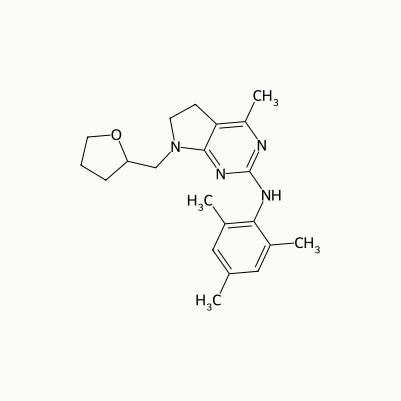 Cc1cc(C)c(Nc2nc(C)c3c(n2)N(CC2CCCO2)CC3)c(C)c1